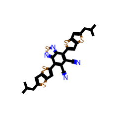 CC(C)Cc1cc2sc(-c3c(C#N)c(C#N)c(-c4cc5sc(CC(C)C)cc5s4)c4nsnc34)cc2s1